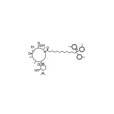 CC[C@H]1OC(=O)[C@H](C)C[C@H](C)[C@@H](O[C@@H]2O[C@H](C)C[C@H](N(C)C)[C@H]2O)[C@](C)(O)C[C@@H](C)CN(C(=O)CCCCCCCCCCC[PH](c2cccc(C)c2)(c2cccc(C)c2)c2cccc(C)c2)[C@H](C)[C@@H](O)[C@]1(C)O